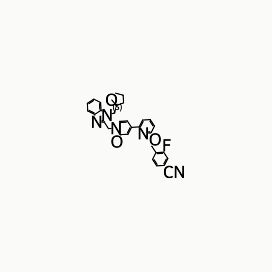 N#Cc1ccc(COc2cccc(-c3ccn(Cc4nc5ccccc5n4C[C@@H]4CCCO4)c(=O)c3)n2)c(F)c1